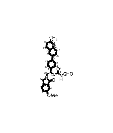 COc1ccc2c(c1)C(=O)N(C[C@H](NC(=O)NC=O)c1ccc(-c3ccc4nc(C)ccc4c3)cc1)C2